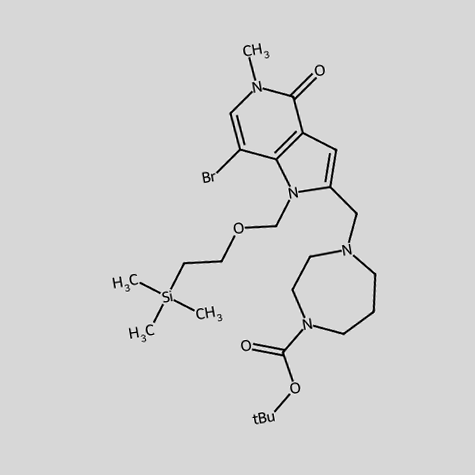 Cn1cc(Br)c2c(cc(CN3CCCN(C(=O)OC(C)(C)C)CC3)n2COCC[Si](C)(C)C)c1=O